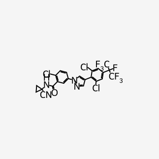 N#CC1(NC(=O)c2cc(-n3cc(-c4c(Cl)cc(C(F)(C(F)(F)F)C(F)(F)F)cc4Cl)cn3)ccc2Cl)CC1